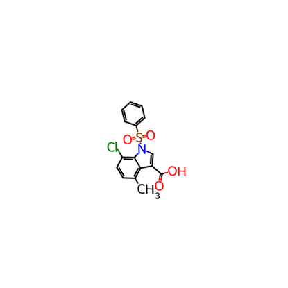 Cc1ccc(Cl)c2c1c(C(=O)O)cn2S(=O)(=O)c1ccccc1